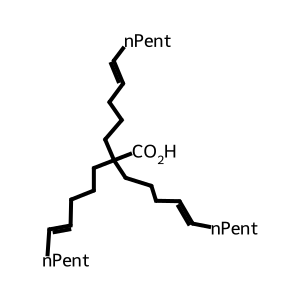 CCCCC/C=C/CCCC(CCC/C=C/CCCCC)(CCC/C=C/CCCCC)C(=O)O